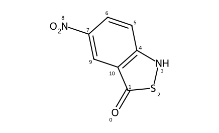 O=c1s[nH]c2ccc([N+](=O)[O-])cc12